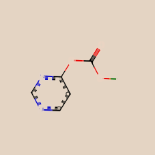 O=C(OCl)Oc1ccncn1